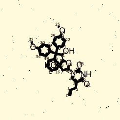 C=CCc1cn([C@H]2C[C@H](O)[C@@H](C(O)C(c3ccccc3)(c3ccc(OC)cc3)c3ccc(OC)cc3)O2)c(=O)[nH]c1=O